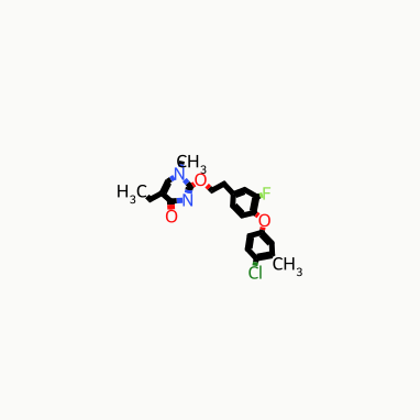 CCc1cn(C)c(OCCc2ccc(Oc3ccc(Cl)c(C)c3)c(F)c2)nc1=O